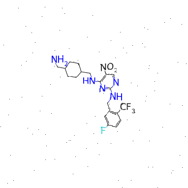 NCC1CCC(CNc2nc(NCc3cc(F)ccc3C(F)(F)F)ncc2[N+](=O)[O-])CC1